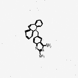 Nc1nc(N)c2cc(CN3c4ccccc4C=Cc4ccccc43)ccc2n1